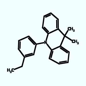 CCc1cccc(N2c3ccccc3C(C)(C)c3ccccc32)c1